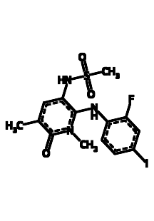 Cc1cc(NS(C)(=O)=O)c(Nc2ccc(I)cc2F)n(C)c1=O